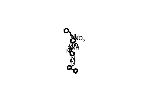 O=[N+]([O-])c1cc(S(=O)(=O)Nc2ncnc3cc(N4CCN(Cc5ccccc5-c5ccccc5)CC4)ccc23)ccc1NCCC1CCCCC1